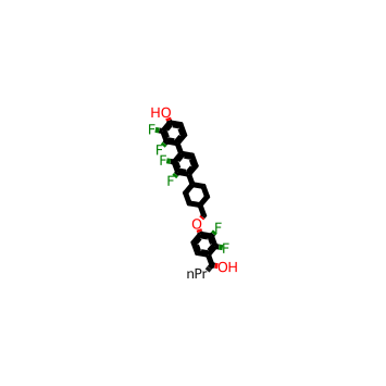 CCCC(O)c1ccc(OCC2CCC(c3ccc(-c4ccc(O)c(F)c4F)c(F)c3F)CC2)c(F)c1F